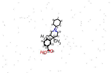 CC1CN(C2CCCCC2)CCC1(C)c1cccc(C(=O)O)c1